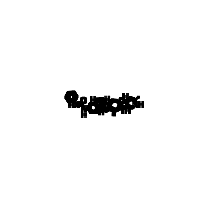 CC1=C2C[C@H]3[C@@H](CC[C@@H]4C[C@@H](NC(=O)Nc5ccccc5)CC[C@@]43C)[C@@H]2CC[C@@]2(C1)O[C@@H]1C[C@H](C)NC[C@H]1[C@H]2C